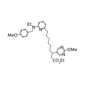 CCOC(=O)CC(CCCCCCc1cccc(N(CC)Cc2ccc(OC)cc2)n1)c1cnc(OC)nc1